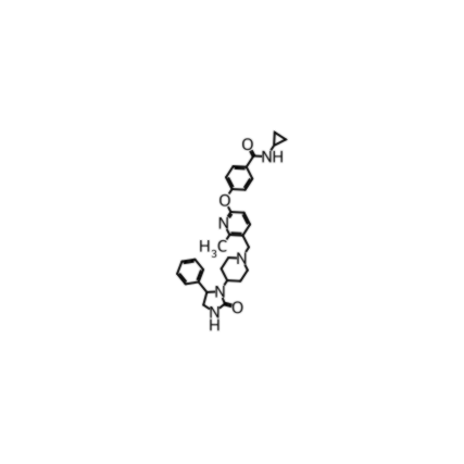 Cc1nc(Oc2ccc(C(=O)NC3CC3)cc2)ccc1CN1CCC(N2C(=O)NCC2c2ccccc2)CC1